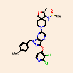 COc1ccc(Cn2nc(Oc3ccnc(Cl)c3Cl)c3ncc(N4CCC5(CC4)CO[C@@H](C)[C@H]5N[S@@+]([O-])C(C)(C)C)nc32)cc1